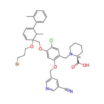 Cc1ccccc1C1=CC=CC(COc2cc(OCc3cncc(C#N)c3)c(CN3CCCC[C@H]3C(=O)O)cc2Cl)(OCCCBr)C1C